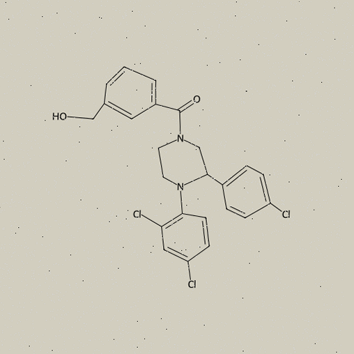 O=C(c1cccc(CO)c1)N1CCN(c2ccc(Cl)cc2Cl)C(c2ccc(Cl)cc2)C1